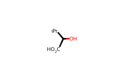 C[C](C)C(O)C(=O)O